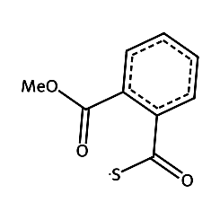 COC(=O)c1ccccc1C(=O)[S]